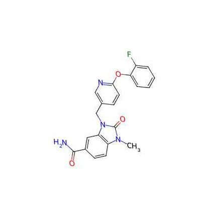 Cn1c(=O)n(Cc2ccc(Oc3ccccc3F)nc2)c2cc(C(N)=O)ccc21